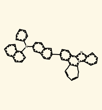 C1=CCc2c(c3cc(-c4ccc5cc(N(c6ccccc6)c6cccc7ccccc67)ccc5c4)ccc3c3nc4ccccc4n23)C=C1